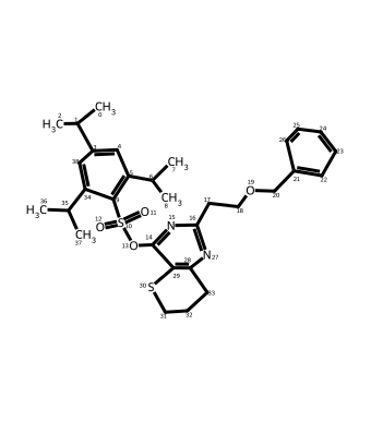 CC(C)c1cc(C(C)C)c(S(=O)(=O)Oc2nc(CCOCc3ccccc3)nc3c2SCCC3)c(C(C)C)c1